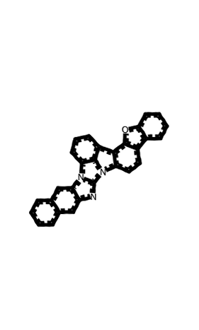 c1ccc2cc3c(cc2c1)nc1n3c2cccc3c4c5oc6ccccc6c5ccc4n1c32